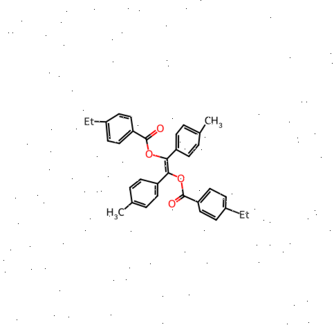 CCc1ccc(C(=O)O/C(=C(/OC(=O)c2ccc(CC)cc2)c2ccc(C)cc2)c2ccc(C)cc2)cc1